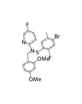 COc1ccc(CN(Sc2cc(C)c(Br)cc2F)c2ccc(F)cn2)c(OC)c1